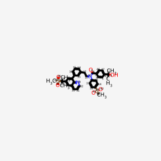 CC(C)(O)c1ccc(C(=O)N(CCc2cccc(-c3cc(C(C)(C)S(C)(=O)=O)cc4cccnc34)c2)c2ccc(S(C)(=O)=O)cc2)cc1